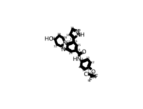 O=C(Nc1ccc(OC(F)(F)Cl)cc1)c1cc(-c2ccn[nH]2)c2c(c1)nc1n2CC[C@@H](O)C1